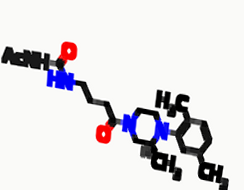 CC(=O)NC(=O)NCCCC(=O)N1CCN(c2cc(C)ccc2C)[C@@H](C)C1